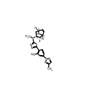 Cc1cnn(-c2ccc(-c3nnc(N(C)[C@H]4C[C@@H]5C=C[C@@H](N5)[C@@H]4F)s3)c(O)c2)n1